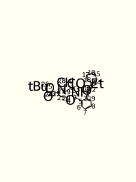 CCOC(=O)[C@H](NC(=O)c1ccccc1OCc1ccccc1)[C@@H]1CC[C@H](C(=O)OC(C)(C)C)N1C